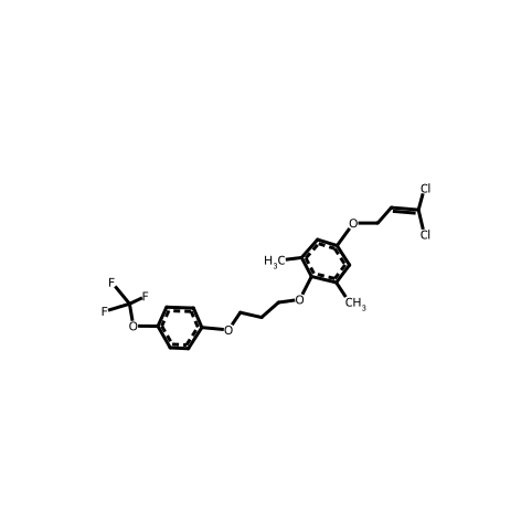 Cc1cc(OCC=C(Cl)Cl)cc(C)c1OCCCOc1ccc(OC(F)(F)F)cc1